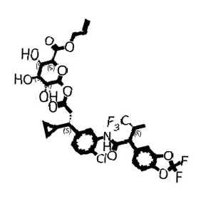 C=CCOC(=O)[C@H]1OC(OC(=O)C[C@H](c2ccc(Cl)c(NC(=O)C(c3ccc4c(c3)OC(F)(F)O4)[C@@H](C)C(F)(F)F)c2)C2CC2)[C@H](O)[C@@H](O)[C@@H]1O